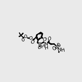 CNS(=O)(=O)CCC(=O)N[C@@H]1Oc2cccc(C(=O)OCOC(=O)C(C)(C)C)c2CB1O